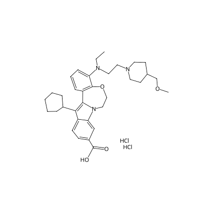 CCN(CCN1CCC(COC)CC1)c1cccc2c1OCCn1c-2c(C2CCCCC2)c2ccc(C(=O)O)cc21.Cl.Cl